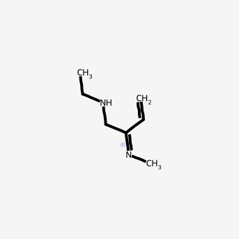 C=C/C(CNCC)=N\C